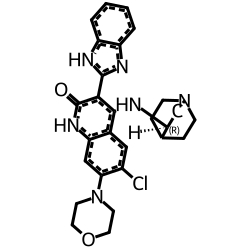 O=c1[nH]c2cc(N3CCOCC3)c(Cl)cc2c(N[C@H]2CN3CCC2CC3)c1-c1nc2ccccc2[nH]1